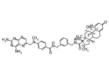 C[C@@H]1C[C@H]2C3CCC4=CC(=O)C=C[C@]4(C)[C@@]3(F)[C@@H](O)C[C@]2(C)[C@@]1(O)C(=O)NCc1cccc(CNC(=O)c2ccc(N(C)Cc3cnc4nc(N)nc(N)c4n3)cc2)c1